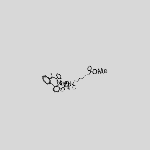 COC(=O)CCCCCCC(=O)N[C@@H](C)C(=O)NN1C(=O)C(C)c2ccccc2-c2ccccc21